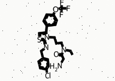 CCN(CCCn1c(-c2ccc(OC(F)(F)F)cc2)csc1=NCc1ccc(Cl)cc1)C(=O)CN